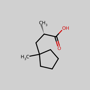 C[C@@H](CC1(C)CCCC1)C(=O)O